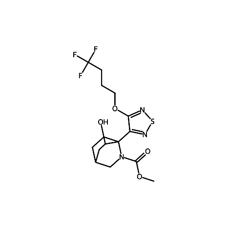 COC(=O)N1CC2CCC1(c1nsnc1OCCCC(F)(F)F)C(O)C2